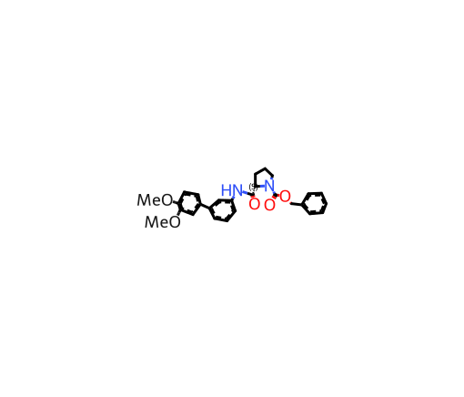 COc1ccc(-c2cccc(NC(=O)[C@@H]3CCCN3C(=O)OCc3ccccc3)c2)cc1OC